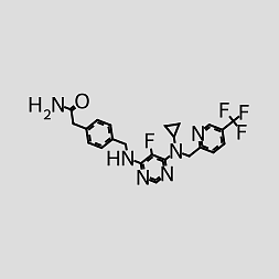 NC(=O)Cc1ccc(CNc2ncnc(N(Cc3ccc(C(F)(F)F)cn3)C3CC3)c2F)cc1